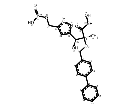 C[C@@](OCc1ccc(-c2ccccc2)cc1)(C(=O)NO)[C@@H](O)c1cc(CO[PH](=O)O)on1